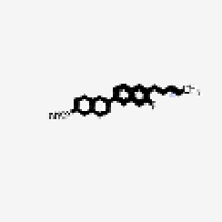 C/C=C/CCc1cc2ccc(C3CCC4CC(CCCCCC)CCC4C3)cc2cc1F